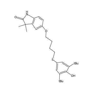 CC(C)(C)c1cc(SCCCCOc2ccc3c(c2)C(C)(C)C(=O)N3)cc(C(C)(C)C)c1O